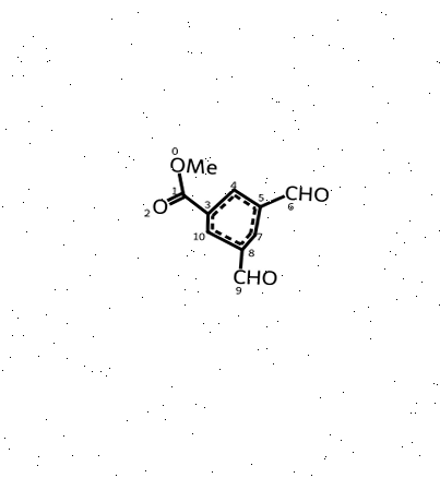 COC(=O)c1cc(C=O)cc(C=O)c1